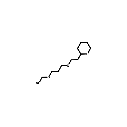 N#CCOCCCOCCC1CCCCO1